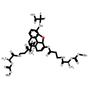 C[C@H](OC(=O)OC(C)(C)C)C(=O)NCCC(=O)OC1=CC[C@@]2(OC(=O)CCNC(=O)[C@H](C)OC(=O)OC(C)(C)C)[C@H]3Cc4ccc(O)c5c4[C@@]2(CCN3C)[C@H]1O5.O=C(O)C(F)(F)F